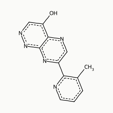 Cc1cccnc1-c1cnc2c(O)cnnc2n1